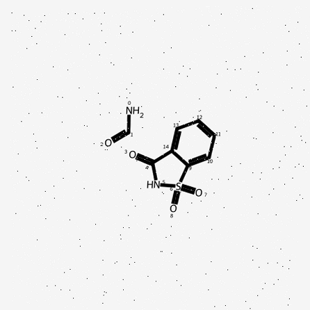 NC=O.O=C1NS(=O)(=O)c2ccccc21